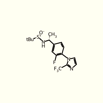 C[C@@H](N[S@+]([O-])C(C)(C)C)c1ccc(-n2ccnc2C(F)(F)F)c(F)c1